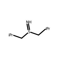 CC(C)CS(=N)CC(C)C